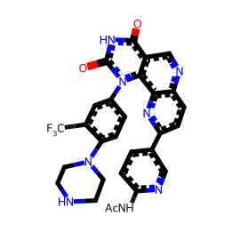 CC(=O)Nc1ccc(-c2ccc3ncc4c(=O)[nH]c(=O)n(-c5ccc(N6CCNCC6)c(C(F)(F)F)c5)c4c3n2)cn1